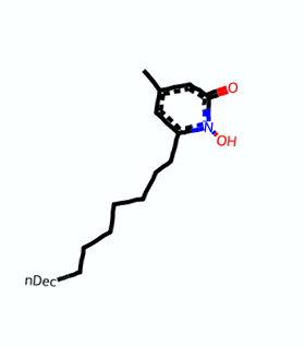 CCCCCCCCCCCCCCCCCc1cc(C)cc(=O)n1O